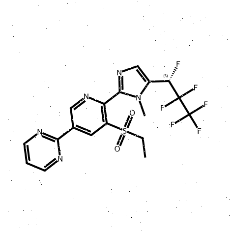 CCS(=O)(=O)c1cc(-c2ncccn2)cnc1-c1ncc([C@H](F)C(F)(F)C(F)(F)F)n1C